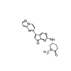 CN1C[C@H](Nc2ncc3c(-c4ccn5nccc5n4)c[nH]c3n2)CCC1=O